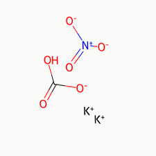 O=C([O-])O.O=[N+]([O-])[O-].[K+].[K+]